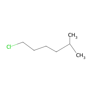 CC(C)CCCCCl